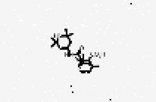 CC1(C)CC(NC(=O)C2C3C=CC(C)(CC3(C)C)C2C(=O)O)CC(C)(C)N1